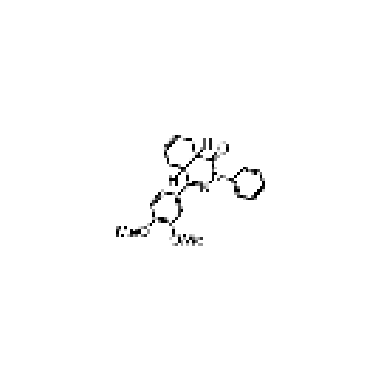 COc1ccc(C2=NN(c3ccccc3)C(=O)[C@H]3CC=CC[C@@H]23)cc1OC